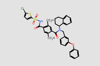 O=C(O)c1cc(C(=O)N(Cc2cccc(Oc3ccccc3)c2)[C@H]2CCCc3ccccc32)c(C(=O)O)cc1C(=O)NS(=O)(=O)c1ccc(Cl)s1